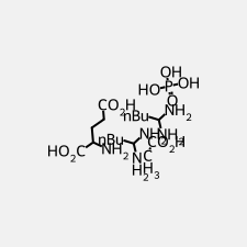 CC(=O)O.CCCCC(N)N.CCCCC(N)N.NC(CCC(=O)O)C(=O)O.O=P(O)(O)O